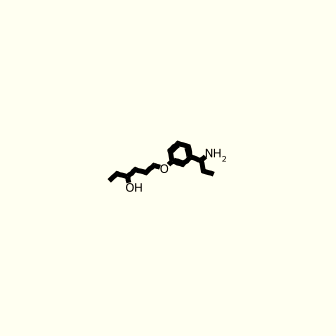 CCC(O)CCCOc1cccc(C(N)CC)c1